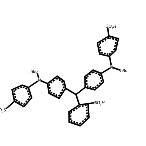 CCCCN(c1ccc(C(c2ccc(N(CCCC)c3ccc(S(=O)(=O)O)cc3)cc2)c2ccccc2S(=O)(=O)O)cc1)c1ccc(S(=O)(=O)O)cc1